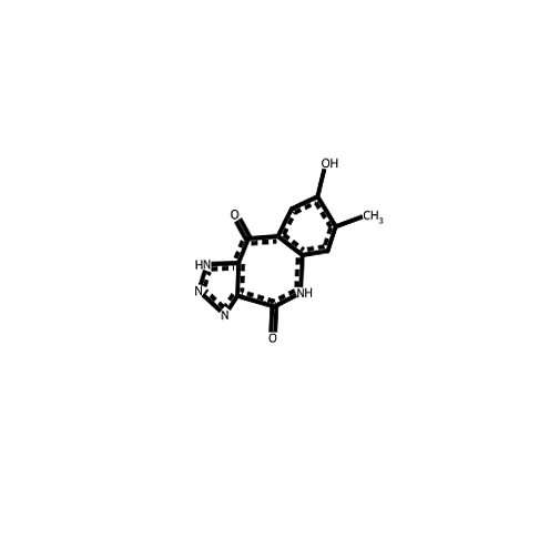 Cc1cc2[nH]c(=O)c3nn[nH]c3c(=O)c2cc1O